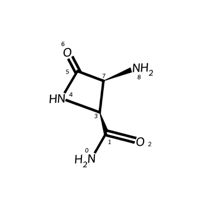 NC(=O)[C@H]1NC(=O)[C@H]1N